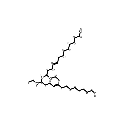 CCOC(CCC=CCCCCCCCCCl)OC(CCC=CCCCCCCCCCl)OCC